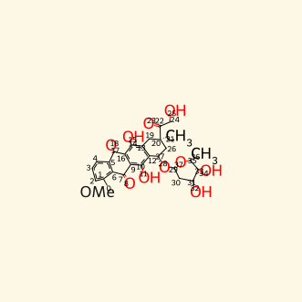 COc1cccc2c1C(=O)c1c(O)c3c(c(O)c1C2=O)C[C@@](C)(C(=O)CO)CC3OC1C[C@H](O)[C@H](O)[C@H](C)O1